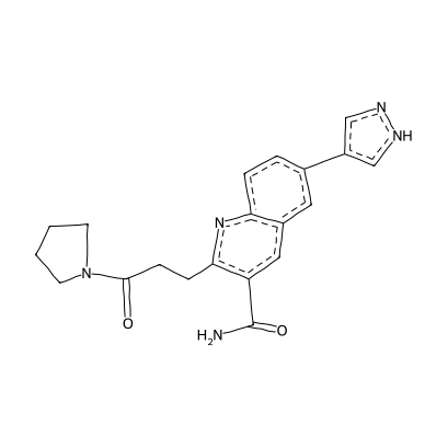 NC(=O)c1cc2cc(-c3cn[nH]c3)ccc2nc1CCC(=O)N1CCCC1